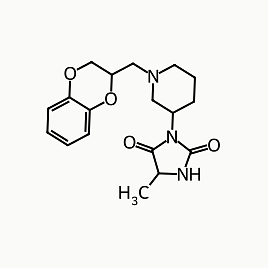 CC1NC(=O)N(C2CCCN(CC3COc4ccccc4O3)C2)C1=O